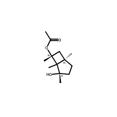 CC(=O)O[C@]1(C)C[C@@]2(C)CC[C@](C)(O)C21C